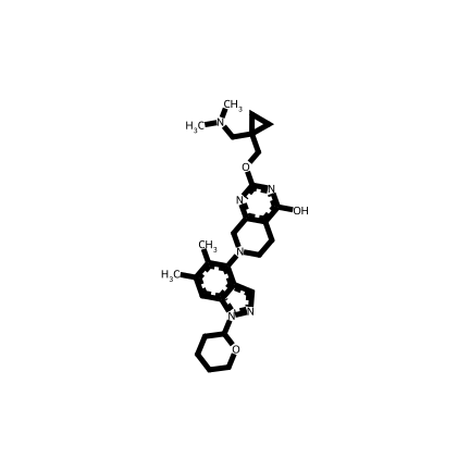 Cc1cc2c(cnn2C2CCCCO2)c(N2CCc3c(O)nc(OCC4(CN(C)C)CC4)nc3C2)c1C